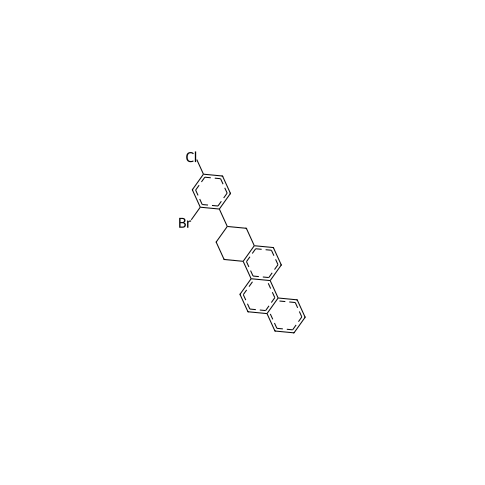 Clc1ccc(C2CCc3c(ccc4c3ccc3ccccc34)C2)c(Br)c1